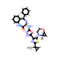 CC1(c2nc(-c3nnc(N[C@H]4N=C(c5ccccc5)c5ccccc5NC4=O)o3)c(N3CCOC4C[C@H]43)s2)CC1